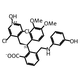 COc1ccc([C@H](Cc2c(Cl)c[n+](O)cc2Cl)c2c(CNc3cccc(O)c3)cccc2C(=O)[O-])cc1OC